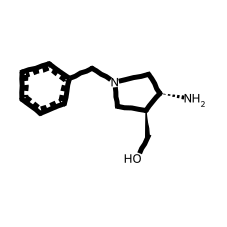 N[C@H]1CN(Cc2ccccc2)C[C@@H]1CO